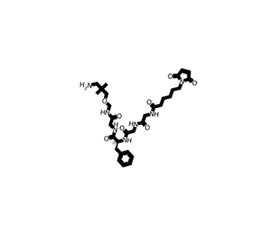 CC(C)(CN)COCNC(=O)CNC(=O)[C@H](Cc1ccccc1)NC(=O)CNC(=O)CNC(=O)CCCCCN1C(=O)C=CC1=O